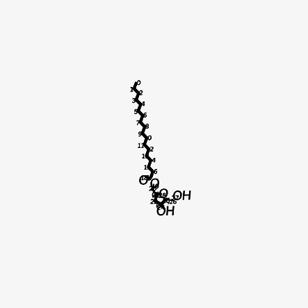 CCCCCCCCCCCCCCCCCC(=O)OC[C@@H]1C[C@H](O)[C@@H](CO)O1